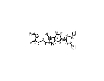 C=C(CCCc1nc2cc(N(CCCl)CCCl)ccc2n1C)OC(C)C